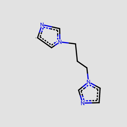 [c]1cn(CCCn2ccnc2)cn1